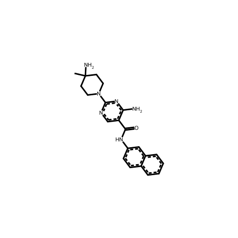 CC1(N)CCN(c2ncc(C(=O)Nc3ccc4ccccc4c3)c(N)n2)CC1